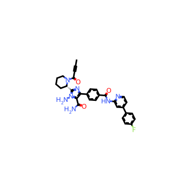 CC#CC(=O)N1CCCC[C@H]1c1nc(-c2ccc(C(=O)Nc3cc(-c4ccc(F)cc4)ccn3)cc2)c(C(N)=O)n1N